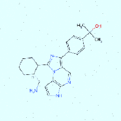 CC(C)(O)c1ccc(-c2nc(C3CCCC[C@H]3CN)n3c2cnc2[nH]ccc23)cc1